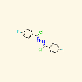 Fc1ccc(C(Cl)=NN=C(Cl)c2ccc(F)cc2)cc1